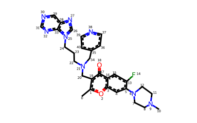 Cc1oc2cc(N3CCN(C)CC3)c(F)cc2c(=O)c1CN(CCCn1cnc2cncnc21)Cc1ccncc1